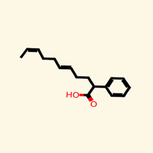 C/C=C\CCC=CCCC(C(=O)O)c1ccccc1